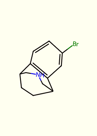 Brc1ccc2c(c1)C1CCC2CNC1